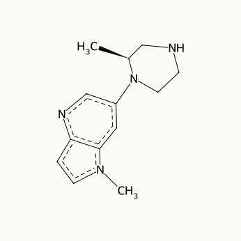 C[C@H]1CNCCN1c1cnc2ccn(C)c2c1